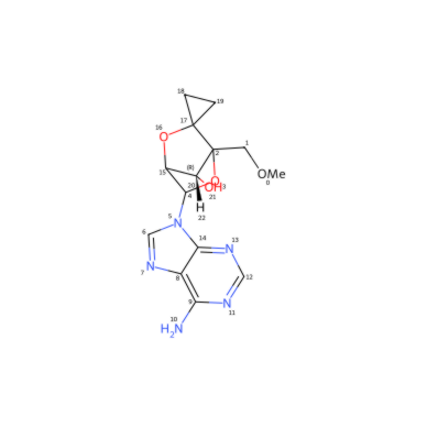 COCC12OC(n3cnc4c(N)ncnc43)C(OC13CC3)[C@H]2O